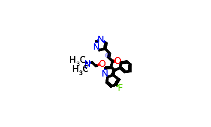 CN(C)CCOc1nc2ccc(F)cc2c(-c2ccccc2)c1C(=O)/C=C/c1cncnc1